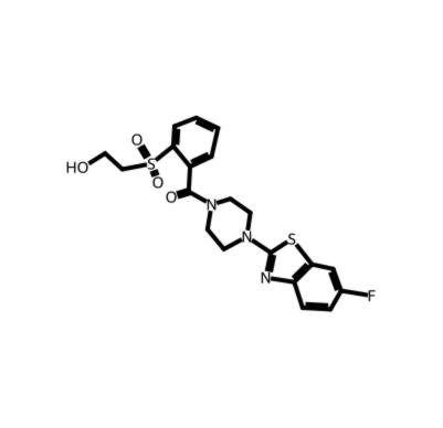 O=C(c1ccccc1S(=O)(=O)CCO)N1CCN(c2nc3ccc(F)cc3s2)CC1